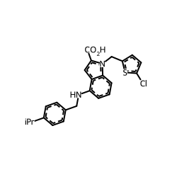 CC(C)c1ccc(CNc2cccc3c2cc(C(=O)O)n3Cc2ccc(Cl)s2)cc1